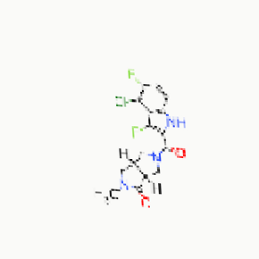 CN1C[C@@H]2CN(C(=O)c3[nH]c4ccc(F)c(Cl)c4c3F)C[C@@H]2C1=O